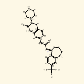 O=C(/C=C1\CCCOc2cc(C(F)(F)F)ccc21)Nc1ccc2c(c1)NC(=O)C(N1CCOCC1)C2